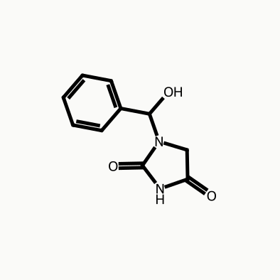 O=C1CN(C(O)c2ccccc2)C(=O)N1